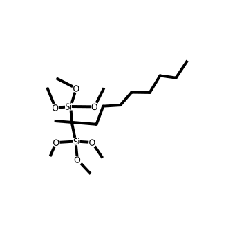 CCCCCCCCC(C)([Si](OC)(OC)OC)[Si](OC)(OC)OC